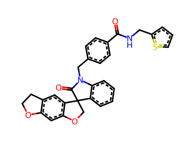 O=C(NCc1cccs1)c1ccc(CN2C(=O)C3(COc4cc5c(cc43)CCO5)c3ccccc32)cc1